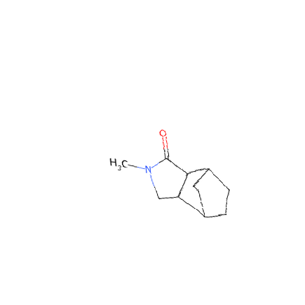 CN1CC2C3CCC(CC3)C2C1=O